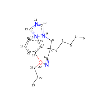 CCCCCC(C#N)(Cn1cncn1)c1ccccc1OCCC